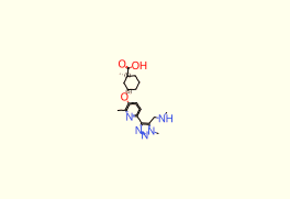 CNCc1c(-c2ccc(O[C@H]3CCC[C@](C)(C(=O)O)C3)c(C)n2)nnn1C